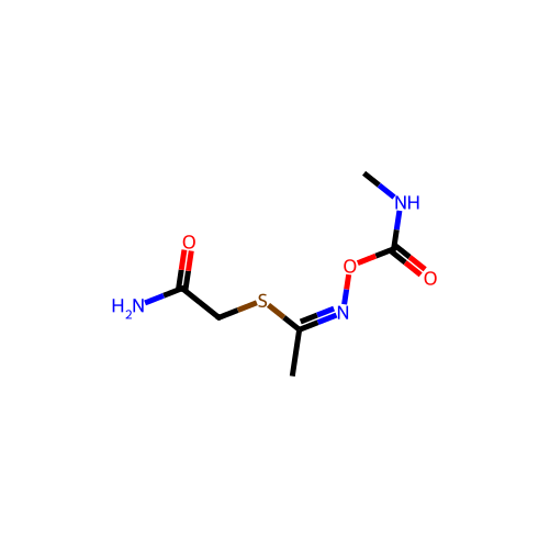 CNC(=O)ON=C(C)SCC(N)=O